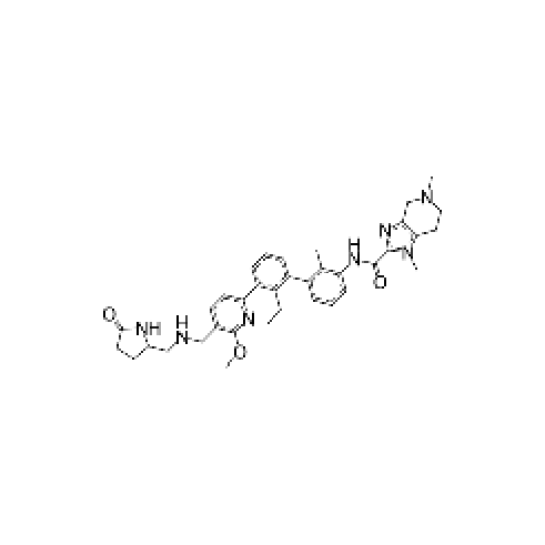 CCc1c(-c2ccc(CNCC3CCC(=O)N3)c(OC)n2)cccc1-c1cccc(NC(=O)c2nc3c(n2C)CCN(C)C3)c1C